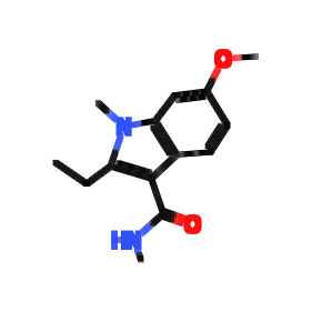 CCc1c(C(=O)NC)c2ccc(OC)cc2n1C